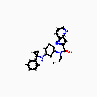 CCN(C(=O)c1cc2ncccc2[nH]1)C1CCCC(NC2(c3ccccc3)CC2)C1